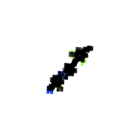 CCCc1cc(F)c(C#Cc2ccc(N=Nc3ccc(C#N)c(F)c3)cc2)c(F)c1